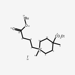 CCOC(=O)C1(C)CC[N+](C)(CCCC(=O)OC(C)(C)C)CC1.[I-]